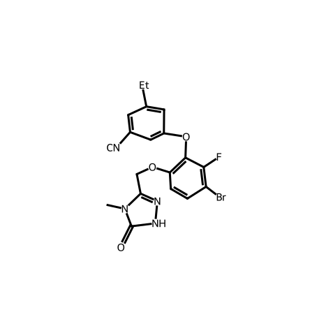 [C-]#[N+]c1cc(CC)cc(Oc2c(OCc3n[nH]c(=O)n3C)ccc(Br)c2F)c1